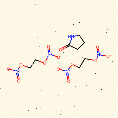 O=C1CCCN1.O=[N+]([O-])OCCO[N+](=O)[O-].O=[N+]([O-])OCCO[N+](=O)[O-]